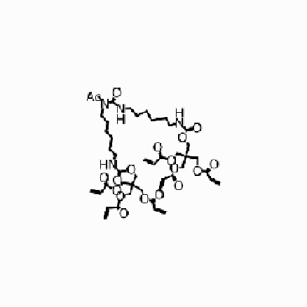 C=CC(=O)OCC(COC(=O)C=C)(COC(=O)C=C)COC(=O)NCCCCCCNC(=O)N(CCCCCCNC(=O)OCC(COC(=O)C=C)(COC(=O)C=C)COC(=O)C=C)C(C)=O